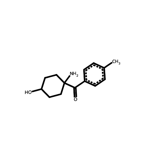 Cc1ccc(C(=O)C2(N)CCC(O)CC2)cc1